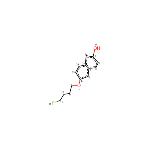 Oc1ccc2cc(OCCCCF)ccc2c1